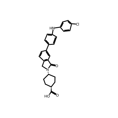 O=C1c2cc(-c3ccc(Nc4ccc(Cl)cc4)cc3)ccc2CN1[C@H]1CC[C@H](C(=O)O)CC1